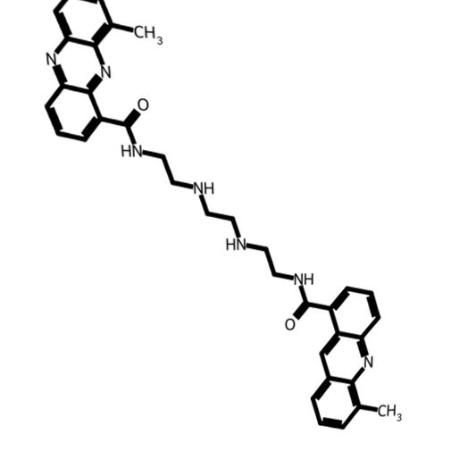 Cc1cccc2cc3c(C(=O)NCCNCCNCCNC(=O)c4cccc5nc6cccc(C)c6nc45)cccc3nc12